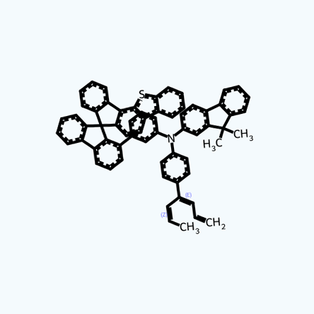 C=C/C=C(\C=C/C)c1ccc(N(c2cccc(-c3cccc4c3C3(c5ccccc5-4)c4ccccc4-c4c3ccc3c4sc4ccccc43)c2)c2ccc3c(c2)C(C)(C)c2ccccc2-3)cc1